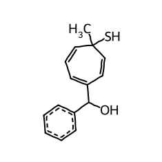 CC1(S)C=CC=C(C(O)c2ccccc2)C=C1